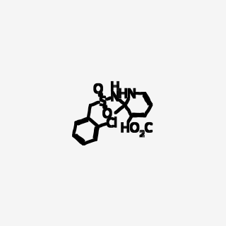 CC1(NS(=O)(=O)Cc2ccccc2Cl)NC=CC=C1C(=O)O